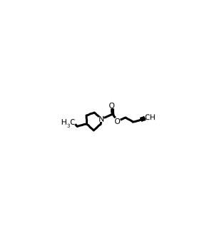 C#CCCOC(=O)N1CCC(CC)CC1